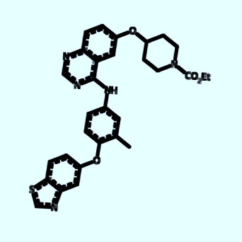 CCOC(=O)N1CCC(Oc2ccc3ncnc(Nc4ccc(Oc5ccc6scnc6c5)c(C)c4)c3c2)CC1